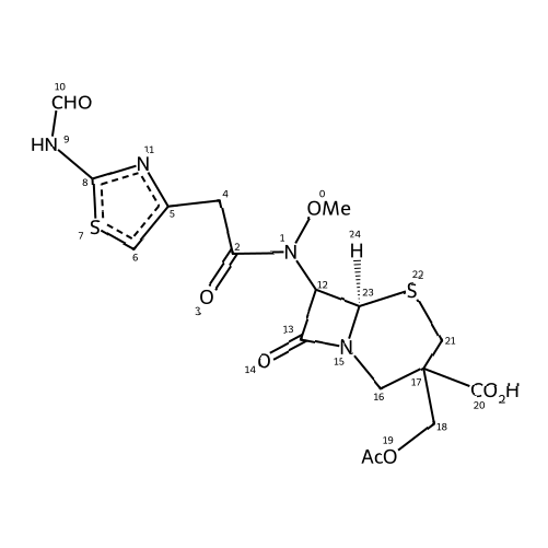 CON(C(=O)Cc1csc(NC=O)n1)C1C(=O)N2CC(COC(C)=O)(C(=O)O)CS[C@H]12